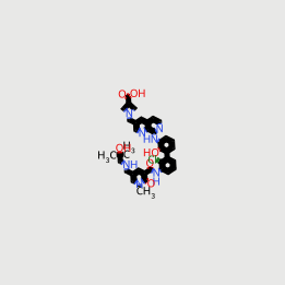 Cn1cc(CNCC(C)(C)O)cc(C(=O)Nc2cccc(-c3cccc(Nc4nccc5cc(CN6CC(C(=O)O)C6)cnc45)c3O)c2Cl)c1=O